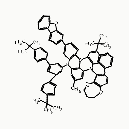 Cc1cc2c3c(c1)N(c1c(-c4ccccc4)ccc4c1OCCCO4)c1ccc(C(C)(C)C)cc1B3c1ccc(-c3ccc4c(c3)oc3ccccc34)cc1N2c1cc(-c2ccc(C(C)(C)C)cc2)cc(-c2ccc(C(C)(C)C)cc2)c1